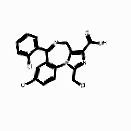 O=C(O)c1nc(CCl)n2c1CN=C(c1ccccc1Cl)c1cc(Cl)ccc1-2